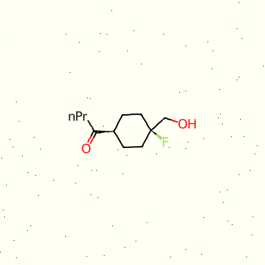 CCCC(=O)[C@H]1CC[C@](F)(CO)CC1